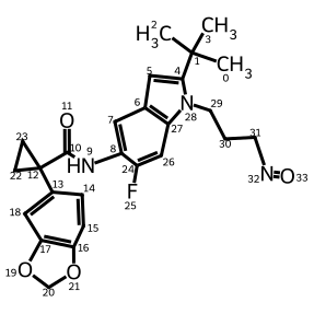 CC(C)(C)c1cc2cc(NC(=O)C3(c4ccc5c(c4)OCO5)CC3)c(F)cc2n1CCCN=O